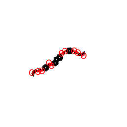 O=C(Oc1ccc2c(c1)Cc1cc(OCOc3ccc(OCOCC4CO4)cc3)ccc1-2)c1ccc(OCOCC2CO2)cc1